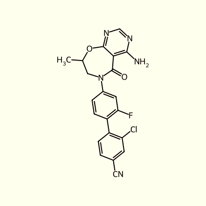 CC1CN(c2ccc(-c3ccc(C#N)cc3Cl)c(F)c2)C(=O)c2c(N)ncnc2O1